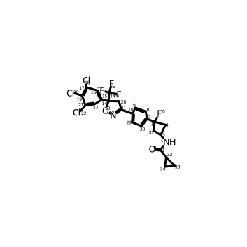 O=C(NC1CC(F)(c2ccc(C3=NOC(c4cc(Cl)c(Cl)c(Cl)c4)(C(F)(F)F)C3)cc2)C1)C1CC1